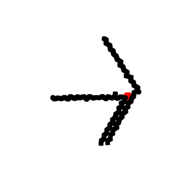 CCCCCCCCCCCCCCCCCCCCC(C)CCC(CCCCCCCCCCCCCCCCC)OC(CCCCCCCCCCCCCCCCC)CCC(C)CCCCCCCCCCCCCCCCCCCC